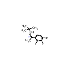 C/C(=N/NC(C)(C)C)c1ccc(F)c(F)c1F